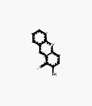 Nc1ccc2oc3ccccc3cc-2c1=O